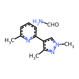 Cc1cccc(-c2cn(C)nc2C)n1.NC=O